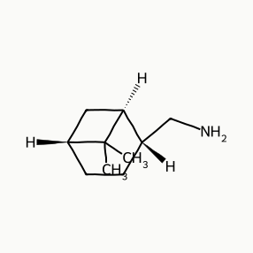 CC1(C)[C@@H]2CC[C@@H](CN)[C@@H]1C2